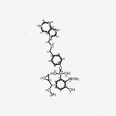 CC(=O)Nc1c(O)cccc1[As](=O)(O)O.CC(C)OCC1CO1.c1ccc(COCn2cnc3ncncc32)cc1